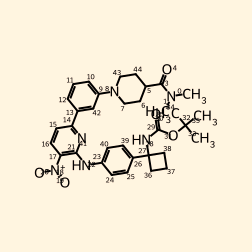 CN(C)C(=O)C1CCN(c2cccc(-c3ccc([N+](=O)[O-])c(Nc4ccc(C5(NC(=O)OC(C)(C)C)CCC5)cc4)n3)c2)CC1